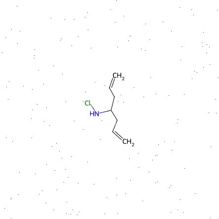 C=CCC(CC=C)NCl